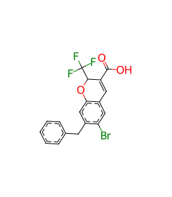 O=C(O)C1=Cc2cc(Br)c(Cc3ccccc3)cc2OC1C(F)(F)F